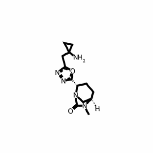 CN1C(=O)N2C[C@H]1CC[C@H]2c1nnc(CC2(N)CC2)o1